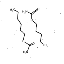 CCCCCCOC(N)=O.CCCCCOC(N)=O